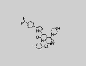 CCc1ccc(C)cc1-n1c(CC(C)C)c(C(=O)N2CCNCC2)cc(-c2nc(-c3ccc(C(F)F)nc3)cs2)c1=O